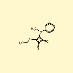 CCOc1c(N(C)c2ccccc2)c(=O)c1=O